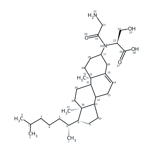 CC(C)CCC[C@@H](C)[C@H]1CCC2C3CC=C4CC(N(C(=O)CN)[C@@H](CO)C(=O)O)CC[C@]4(C)C3CC[C@@]21C